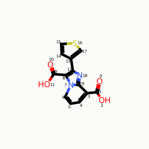 O=C(O)c1cccn2c(C(=O)O)c(-c3ccsc3)nc12